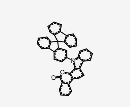 O=c1oc2c(ccc3c4ccccc4n(-c4ccc5c(c4)C4(c6ccccc6-c6ccccc64)c4ccccc4-5)c32)c2ccccc12